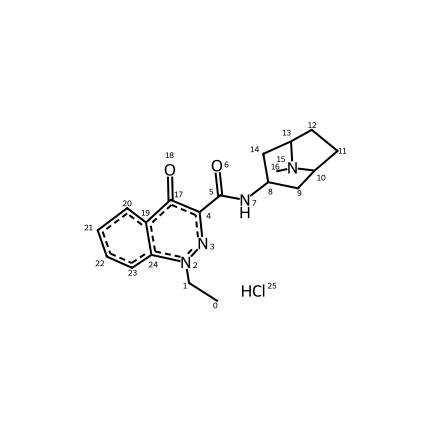 CCn1nc(C(=O)NC2CC3CCC(C2)N3C)c(=O)c2ccccc21.Cl